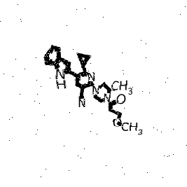 COCCC(=O)N1CCN(c2nc(C3CC3)c(-c3cc4ccccc4[nH]3)cc2C#N)CC1C